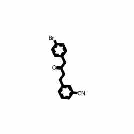 N#Cc1cccc(CCC(=O)Cc2ccc(Br)cc2)c1